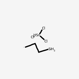 [CH2]CC[SiH3].[Cl][SnH]([Cl])[Cl]